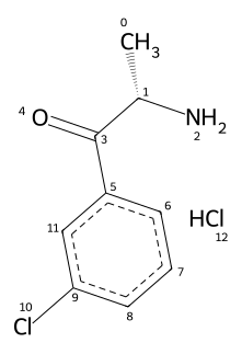 C[C@H](N)C(=O)c1cccc(Cl)c1.Cl